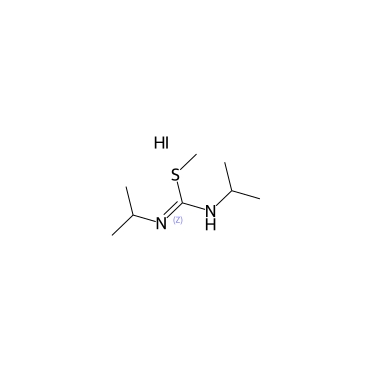 CS/C(=N\C(C)C)NC(C)C.I